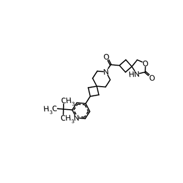 CC(C)(C)c1cc(C2CC3(CCN(C(=O)C4CC5(COC(=O)N5)C4)CC3)C2)ccn1